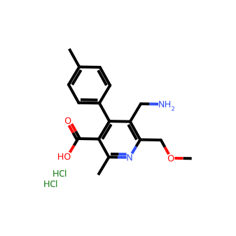 COCc1nc(C)c(C(=O)O)c(-c2ccc(C)cc2)c1CN.Cl.Cl